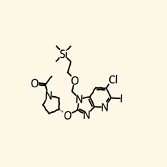 CC(=O)N1CC[C@@H](Oc2nc3nc(I)c(Cl)cc3n2COCC[Si](C)(C)C)C1